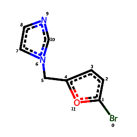 Brc1ccc(Cn2ccnc2)o1